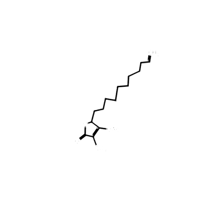 C=CCCCCCCCCCC1OC(=O)C(C)=C1OC(C)=O